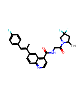 C/C(=C\c1ccc(F)cc1)c1ccc2nccc(C(=O)NCC(=O)N3CC(F)(F)CC3C#N)c2c1